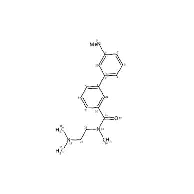 CNc1cccc(-c2cccc(C(=O)N(C)CCN(C)C)c2)c1